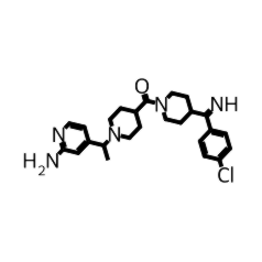 CC(c1ccnc(N)c1)N1CCC(C(=O)N2CCC(C(=N)c3ccc(Cl)cc3)CC2)CC1